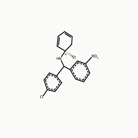 CC[C@]1(NC(c2ccc(Cl)cc2)c2cccc([N+](=O)[O-])c2)C=CC=CC1